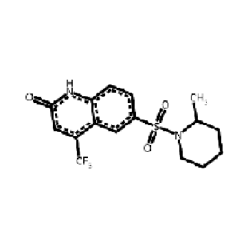 CC1CCCCN1S(=O)(=O)c1ccc2[nH]c(=O)cc(C(F)(F)F)c2c1